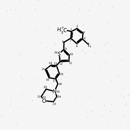 Cc1ccc(I)cc1Cc1ccc(-c2cccc(CN3CCOCC3)c2)s1